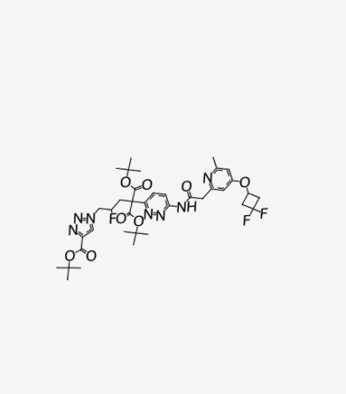 Cc1cc(OC2CC(F)(F)C2)cc(CC(=O)Nc2ccc(C(CC(F)Cn3cc(C(=O)OC(C)(C)C)nn3)(C(=O)OC(C)(C)C)C(=O)OC(C)(C)C)nn2)n1